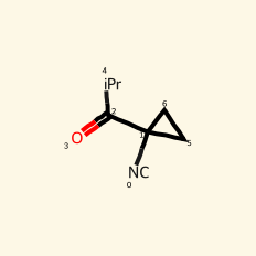 [C-]#[N+]C1(C(=O)C(C)C)CC1